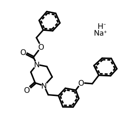 O=C1CN(C(=O)OCc2ccccc2)CCN1Cc1cccc(OCc2ccccc2)c1.[H-].[Na+]